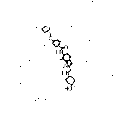 Cc1c(NC(=O)c2ccc(OC[C@@H]3CCCO3)cc2)ccc2cc(CN[C@H]3CC[C@](C)(O)CC3)n(C)c12